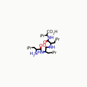 CC(C)CC(N)C(=O)NC(CC(C)C)C(=O)NC(CC(C)C)C(=O)NC(C(=O)O)C(C)C